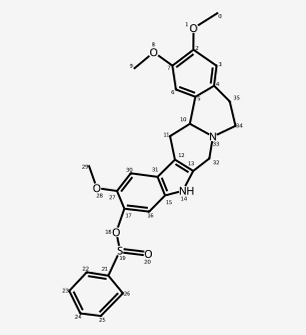 COc1cc2c(cc1OC)C1Cc3c([nH]c4cc(OS(=O)c5ccccc5)c(OC)cc34)CN1CC2